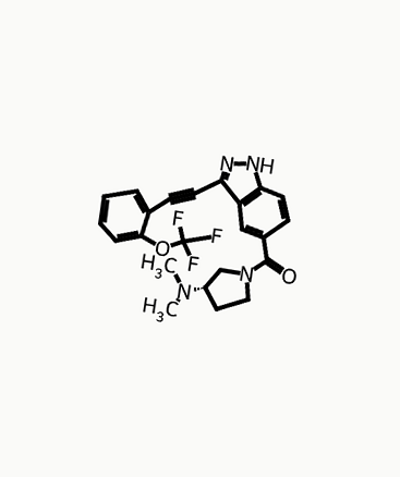 CN(C)[C@H]1CCN(C(=O)c2ccc3[nH]nc(C#Cc4ccccc4OC(F)(F)F)c3c2)C1